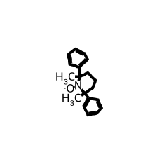 CC1(c2ccccc2)CCCC(C)(c2ccccc2)N1[O]